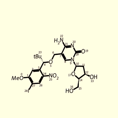 COc1cc([C@@H](OCc2cn([C@H]3C[C@@H](O)[C@@H](CO)O3)c(=O)nc2N)C(C)(C)C)c([N+](=O)[O-])cc1I